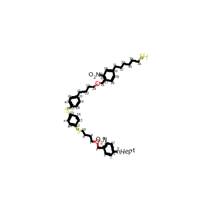 CCCCCCCc1ccc(COCCCCSc2ccc(Sc3ccc(CCCCOCc4ccc(CCCCCCS)cc4[N+](=O)[O-])cc3)cc2)c([N+](=O)[O-])c1